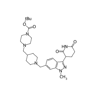 Cn1nc(C2CCC(=O)NC2=O)c2ccc(CN3CCC(CN4CCN(C(=O)OC(C)(C)C)CC4)CC3)cc21